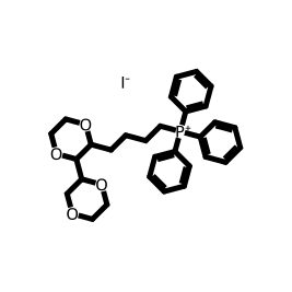 [I-].c1ccc([P+](CCCCC2OCCOC2C2COCCO2)(c2ccccc2)c2ccccc2)cc1